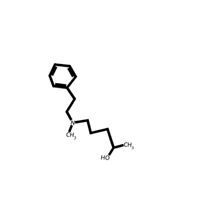 CC(O)CCCN(C)CCc1ccccc1